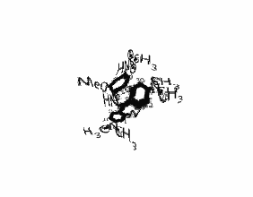 COc1cc(NS(C)(=O)=O)ccc1Nc1c2ccc(N(C)C)cc2nc2cc(N(C)C)ccc12